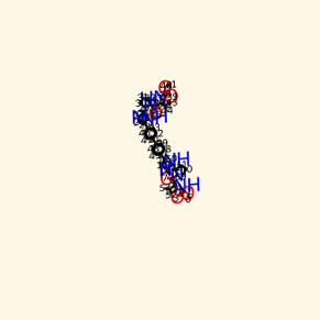 COC(=O)NC(C(=O)N1CCC[C@H]1c1ncc(-c2ccc(-c3ccc(-c4cnc([C@@H]5CCCN5C(=O)[C@@H](NC(=O)OC)C(C)C)[nH]4)cc3)cc2)[nH]1)C(C)C